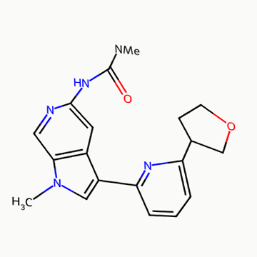 CNC(=O)Nc1cc2c(-c3cccc(C4CCOC4)n3)cn(C)c2cn1